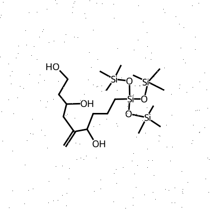 C=C(CC(O)CCO)C(O)CCC[Si](O[Si](C)(C)C)(O[Si](C)(C)C)O[Si](C)(C)C